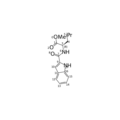 COC(=O)[C@@H](CC(C)C)NC(=O)c1cc2ccccc2[nH]1